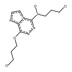 [O-][S+](CCCCl)c1nnc(OCCCCl)c2nccn12